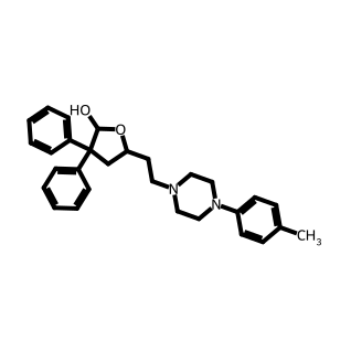 Cc1ccc(N2CCN(CCC3CC(c4ccccc4)(c4ccccc4)C(O)O3)CC2)cc1